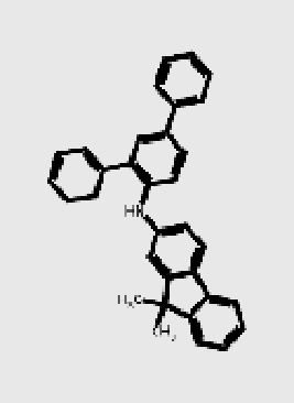 CC1(C)c2ccccc2-c2ccc(Nc3ccc(-c4ccccc4)cc3C3=CC=CCC3)cc21